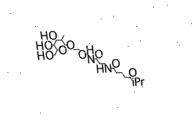 CC(C)C(=O)CCCC(=O)NCCC(=O)NCOCCOC1OC(CO)C(O)C(O)C1C